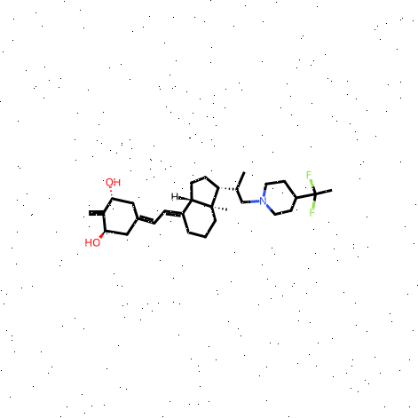 C=C1[C@H](O)CC(=C/C=C2\CCC[C@]3(C)[C@@H](C(C)CN4CCC(C(C)(F)F)CC4)CC[C@@H]23)C[C@H]1O